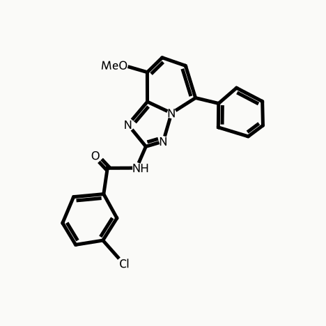 COc1ccc(-c2ccccc2)n2nc(NC(=O)c3cccc(Cl)c3)nc12